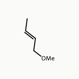 [CH2]OCC=CC